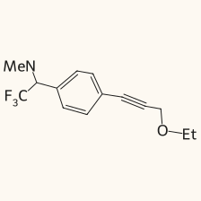 CCOCC#Cc1ccc(C(NC)C(F)(F)F)cc1